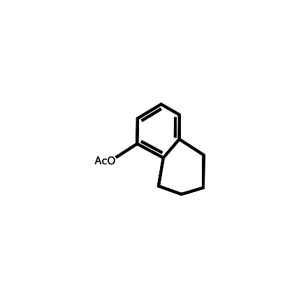 CC(=O)Oc1cccc2c1CCCC2